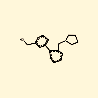 OCc1cccc(-c2[c]cccc2CN2CCCC2)c1